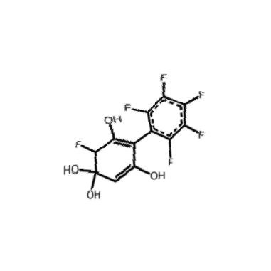 OC1=CC(O)(O)C(F)C(O)=C1c1c(F)c(F)c(F)c(F)c1F